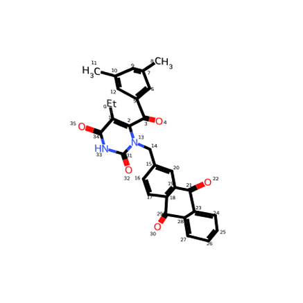 CCc1c(C(=O)c2cc(C)cc(C)c2)n(Cc2ccc3c(c2)C(=O)c2ccccc2C3=O)c(=O)[nH]c1=O